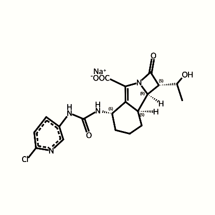 CC(O)[C@H]1C(=O)N2C(C(=O)[O-])=C3[C@@H](NC(=O)Nc4ccc(Cl)nc4)CCC[C@@H]3[C@H]12.[Na+]